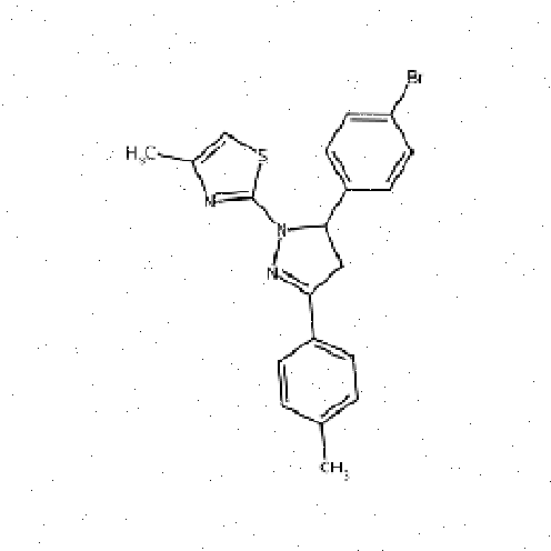 Cc1ccc(C2=NN(c3nc(C)cs3)C(c3ccc(Br)cc3)C2)cc1